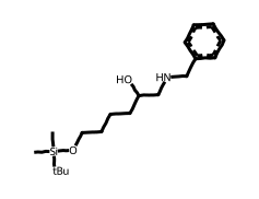 CC(C)(C)[Si](C)(C)OCCCCC(O)CNCc1ccccc1